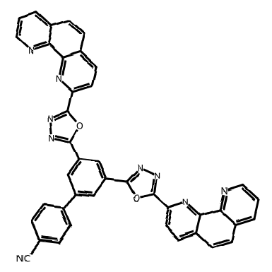 N#Cc1ccc(-c2cc(-c3nnc(-c4ccc5ccc6cccnc6c5n4)o3)cc(-c3nnc(-c4ccc5ccc6cccnc6c5n4)o3)c2)cc1